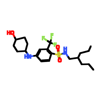 CCCC(CCC)CNS(=O)(=O)c1ccc(NC2CCC(O)CC2)cc1C(F)(F)F